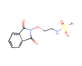 CCS(=O)(=O)NCCON1C(=O)c2ccccc2C1=O